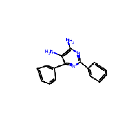 Nc1nc(-c2ccccc2)nc(-c2ccccc2)c1N